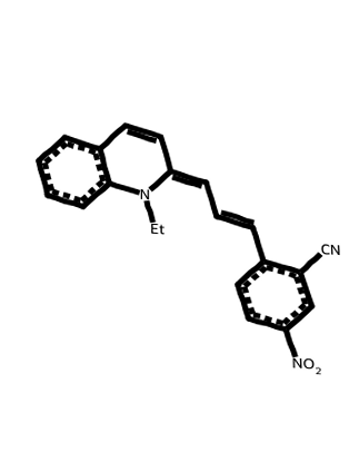 CCN1C(=CC=Cc2ccc([N+](=O)[O-])cc2C#N)C=Cc2ccccc21